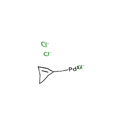 [Cl-].[Cl-].[Cl-].[Pd+3][C]1=CC1